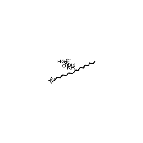 CCCCCCCCCCCCCCCC[N+](C)(C)C.N.O=P([O-])(O)O